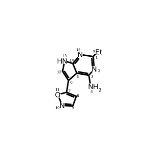 CCc1nc(N)c2c(-c3ccno3)c[nH]c2n1